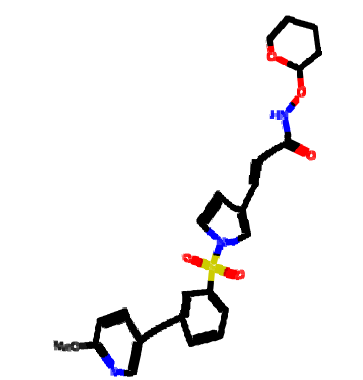 COc1ccc(-c2cccc(S(=O)(=O)n3ccc(/C=C/C(=O)NOC4CCCCO4)c3)c2)cn1